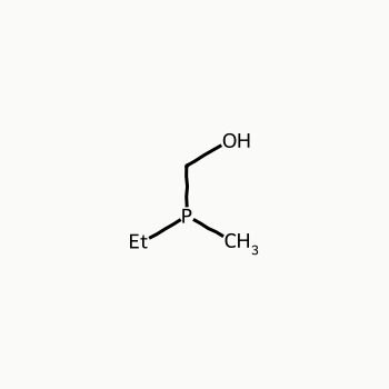 CCP(C)CO